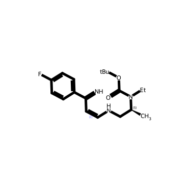 CCN(C(=O)OC(C)(C)C)[C@@H](C)CN/C=C\C(=N)c1ccc(F)cc1